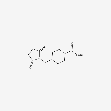 CNC(=O)C1CCC(CN2C(=O)CCC2=O)CC1